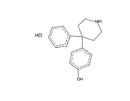 Cl.Oc1ccc(C2(c3ccccc3)CCNCC2)cc1